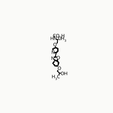 CC(O)COc1ccc2nc(-c3ccc(OC[C@H](C)NC(=O)O)cn3)oc2c1